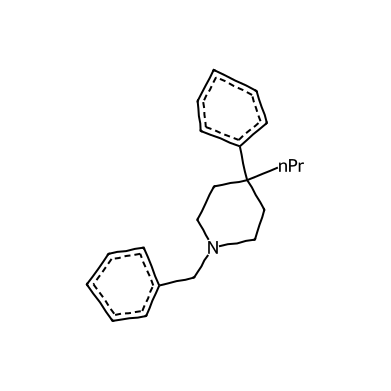 CCCC1(c2ccccc2)CCN(Cc2ccccc2)CC1